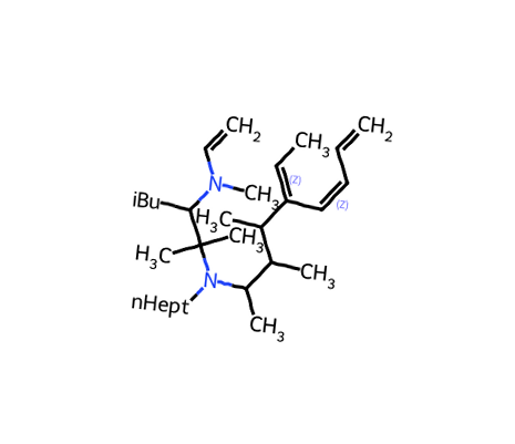 C=C/C=C\C(=C/C)C(C)C(C)C(C)N(CCCCCCC)C(C)(C)C(C(C)CC)N(C)C=C